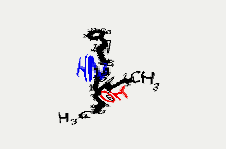 CCCCCC(O)(CCCCC)CCNCCCc1ccccc1